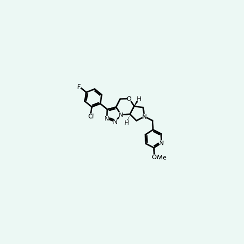 COc1ccc(CN2C[C@@H]3[C@@H](C2)OCc2c(-c4ccc(F)cc4Cl)nnn23)cn1